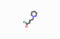 O=C(Cl)C=CCN1CCCCC1